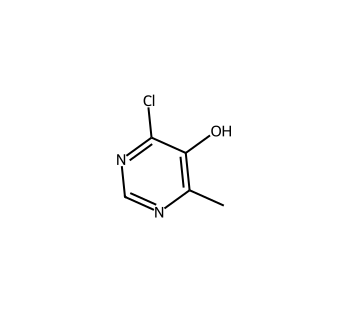 Cc1ncnc(Cl)c1O